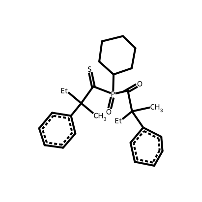 CCC(C)(C(=O)P(=O)(C(=S)C(C)(CC)c1ccccc1)C1CCCCC1)c1ccccc1